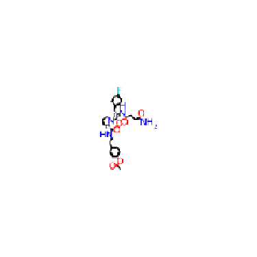 CC(=O)Oc1ccc(CCNC(=O)[C@@H]2CCCN2C(=O)[C@H](Cc2ccc(F)cc2)NC(=O)CCC(N)=O)cc1